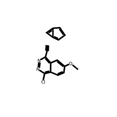 C#Cc1nnc(Cl)c2ccc(OC)cc12.c1cc2cc-2c1